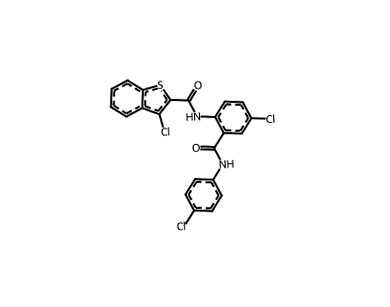 O=C(Nc1ccc(Cl)cc1)c1cc(Cl)ccc1NC(=O)c1sc2ccccc2c1Cl